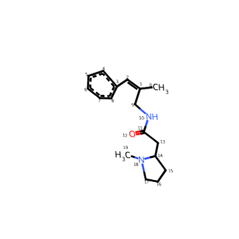 CC(=Cc1ccccc1)CNC(=O)CC1CCCN1C